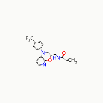 C=CC(=O)NC[C@@H]1CN(c2ccc(C(F)(F)F)cc2)c2cccnc2O1